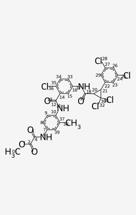 COC(=O)C(=O)Nc1ccc(NC(=O)c2cc(NC(=O)C3C(c4cc(Cl)cc(Cl)c4)C3(Cl)Cl)ccc2Cl)c(C)c1